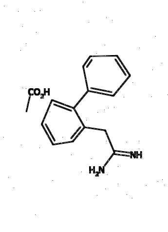 CC(=O)O.N=C(N)Cc1ccccc1-c1ccccc1